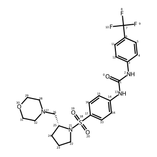 O=C(Nc1ccc(C(F)(F)F)cc1)Nc1ccc(S(=O)(=O)N2CCC[C@@H]2CN2CCOCC2)cc1